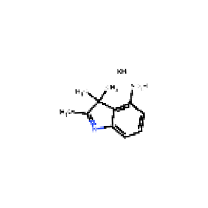 CC1=Nc2cccc(S(=O)(=O)O)c2C1(C)C.[KH]